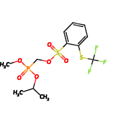 COP(=O)(COS(=O)(=O)c1ccccc1SC(F)(F)F)OC(C)C